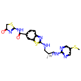 CSc1cnc(NC[C@H](C)CNc2nc3ccc(C(=O)NC4=NC(=O)CS4)cc3s2)nc1